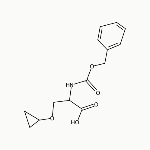 O=C(NC(COC1CC1)C(=O)O)OCc1ccccc1